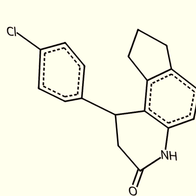 O=C1CC(c2ccc(Cl)cc2)c2c(ccc3c2CCC3)N1